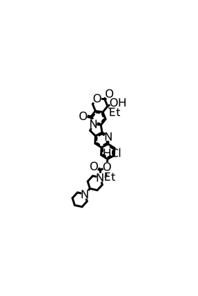 CC[C@@]1(O)C(=O)OCc2c1cc1n(c2=O)Cc2cc3cc(OC(=O)[N+]4(CC)CCC(N5CCCCC5)CC4)ccc3nc2-1.Cl